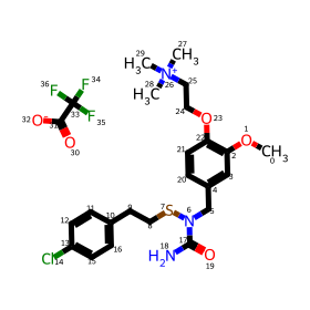 COc1cc(CN(SCCc2ccc(Cl)cc2)C(N)=O)ccc1OCC[N+](C)(C)C.O=C([O-])C(F)(F)F